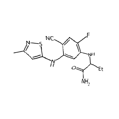 CCC(Nc1cc(Nc2cc(C)ns2)c(C#N)cc1F)C(N)=O